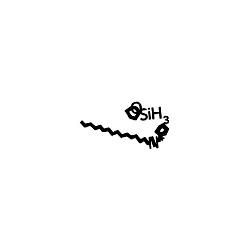 CCCCCCCCCCCCCCCC[N+](C)(C)Cc1ccccc1.[SiH3]C1CCCCO1